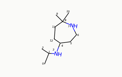 CC(C)NC1CCNC(C)(C)CC1